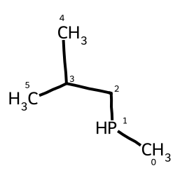 CPCC(C)C